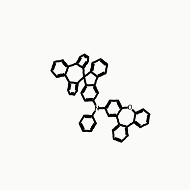 c1ccc(N(c2ccc3c(c2)-c2ccccc2-c2ccccc2O3)c2ccc3c(c2)-c2ccccc2C32c3ccccc3-c3ccccc3-c3ccccc32)cc1